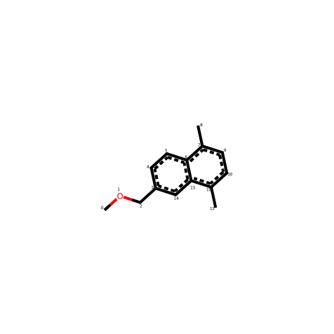 COCc1ccc2c(C)ccc(C)c2c1